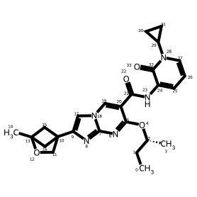 CC[C@@H](C)Oc1nc2nc(C34COC(C)(C3)C4)cn2cc1C(=O)Nc1cccn(C2CC2)c1=O